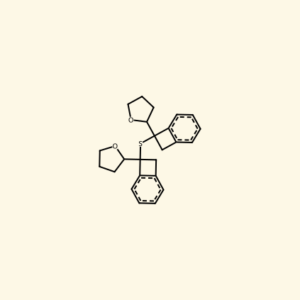 c1ccc2c(c1)CC2(SC1(C2CCCO2)Cc2ccccc21)C1CCCO1